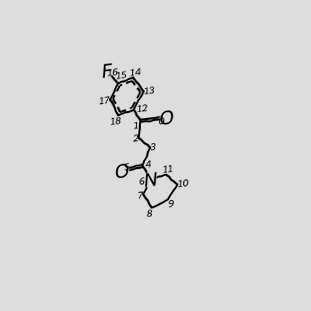 O=C(CCC(=O)N1CCCCC1)c1ccc(F)cc1